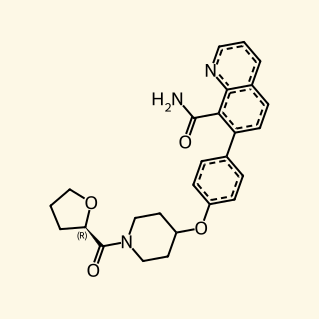 NC(=O)c1c(-c2ccc(OC3CCN(C(=O)[C@H]4CCCO4)CC3)cc2)ccc2cccnc12